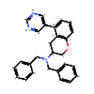 c1ccc(CN(Cc2ccccc2)C2COc3cccc(-c4cncnc4)c3C2)cc1